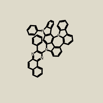 c1ccc(-c2nc3ccc4ccccc4c3nc2-n2c3cccc4c5cccc6c7ccccc7n(c56)c5c6c7ccccc7n(-c7ccccc7)c6cc2c5c43)cc1